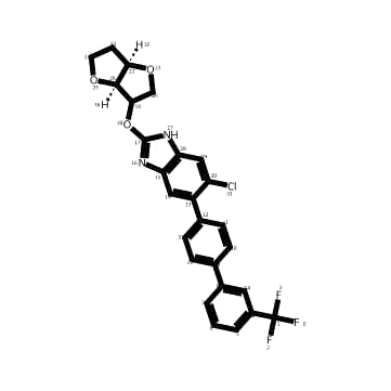 FC(F)(F)c1cccc(-c2ccc(-c3cc4nc(OC5CO[C@@H]6CCO[C@H]56)[nH]c4cc3Cl)cc2)c1